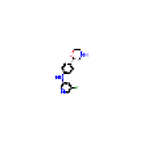 Fc1cncc(Nc2ccc([C@H]3CNCCO3)cc2)c1